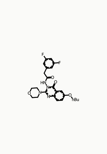 CCCCOc1ccc2nc(N3CCOCC3)n(NC(=O)Cc3cc(F)cc(F)c3)c(=O)c2c1